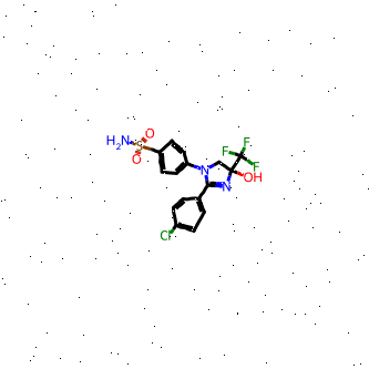 NS(=O)(=O)c1ccc(N2CC(O)(C(F)(F)F)N=C2c2ccc(Cl)cc2)cc1